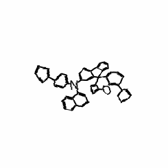 c1ccc(-c2ccc(N(c3ccc4c(c3)C3(c5ccccc5Oc5c(-c6ccccc6)cccc53)c3ccccc3-4)c3cccc4ccccc34)cc2)cc1